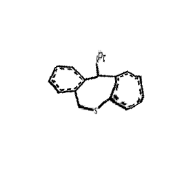 CC(C)C1c2ccccc2CSc2ccccc21